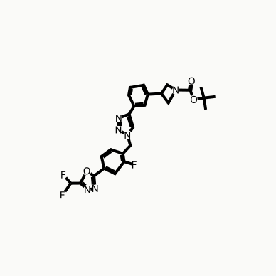 CC(C)(C)OC(=O)N1CC(c2cccc(-c3cn(Cc4ccc(-c5nnc(C(F)F)o5)cc4F)nn3)c2)C1